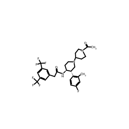 CC(=O)N1CCC(N2CC[C@H](NC(=O)Cc3cc(C(F)(F)F)cc(C(F)(F)F)c3)[C@@H](c3ccc(F)cc3C)C2)CC1